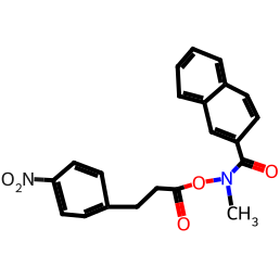 CN(OC(=O)CCc1ccc([N+](=O)[O-])cc1)C(=O)c1ccc2ccccc2c1